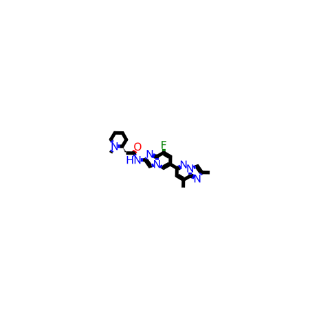 Cc1cn2nc(-c3cc(F)c4nc(NC(=O)C[C@H]5CCCCN5C)cn4c3)cc(C)c2n1